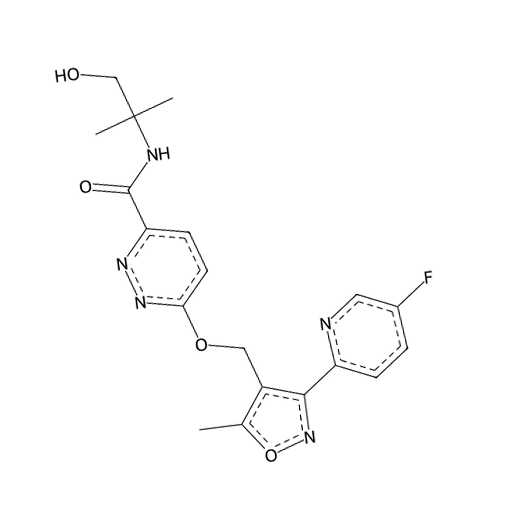 Cc1onc(-c2ccc(F)cn2)c1COc1ccc(C(=O)NC(C)(C)CO)nn1